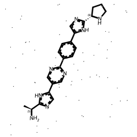 C[C@H](N)c1ncc(-c2cnc(-c3ccc(-c4cnc([C@@H]5CCCN5)[nH]4)cc3)nc2)[nH]1